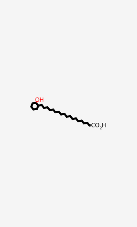 O=C(O)CCCCCCCCCCCCCCCCCCC1CCCCC1O